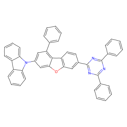 c1ccc(-c2nc(-c3ccccc3)nc(-c3ccc4c(c3)oc3cc(-n5c6ccccc6c6ccccc65)cc(-c5ccccc5)c34)n2)cc1